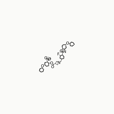 O=C(Oc1ccc(Oc2ccccc2)cc1[N+](=O)[O-])C1CN(Cc2ccc(-c3nc4cc(Oc5ccccc5)ccc4o3)c(F)c2)C1